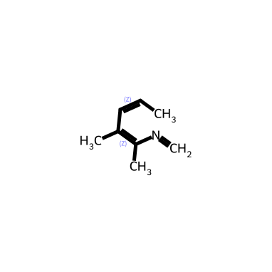 C=N/C(C)=C(C)\C=C/C